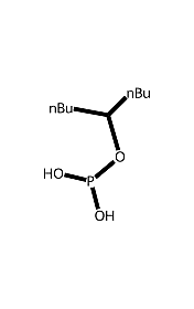 CCCCC(CCCC)OP(O)O